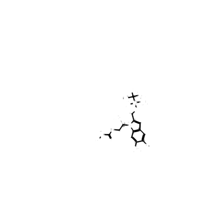 Cc1cc2c(cc1Br)cc(CO[Si](C)(C)C(C)(C)C(C)C)n2[C@H](C)CNC(=O)OC(C)(C)C